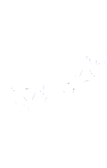 O=C(Nc1ccc(CN2CCCC2)c(C(F)(F)F)c1)C1CCc2ccc(Oc3ccnc(C4=NCCN4)c3)cc2C1